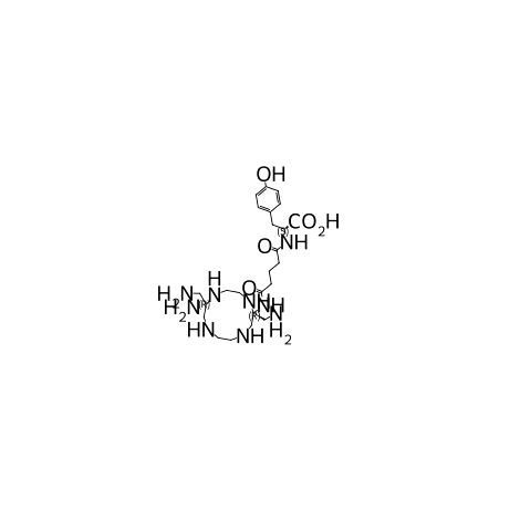 NC[C@]1(N)CNCCNC[C@@](CN)(NC(=O)CCCC(=O)N[C@@H](Cc2ccc(O)cc2)C(=O)O)NCCN1